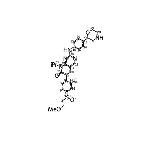 COCC[S+]([O-])c1ccc(-c2cc3cnc(Nc4ccc(C5CNCCO5)cc4)nc3n(C(C)C)c2=O)c(F)c1